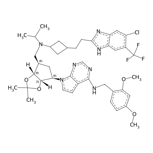 COc1ccc(CNc2ncnc3c2ccn3[C@@H]2C[C@H](CN(C(C)C)C3CC(CCc4nc5cc(Cl)c(C(F)(F)F)cc5[nH]4)C3)[C@H]3OC(C)(C)O[C@H]32)c(OC)c1